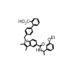 CCOc1cccc(C(C)NC(=O)c2ccc3c(c2)c(C)c(C)n3Cc2ccc(-c3ccccc3C(=O)O)cc2)c1